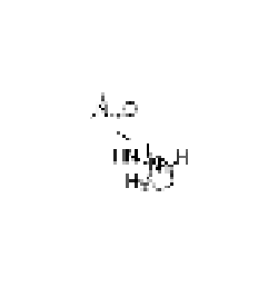 CN(C)C(=O)CCNC1C[C@@H]2CC[C@@H]1N2I